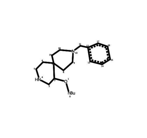 CCCCOC1CNCCC12CCN(Cc1ccccc1)CC2